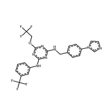 FC(F)(F)COc1nc(NCc2ccc(-n3ccnc3)cc2)nc(Nc2cccc(C(F)(F)F)c2)n1